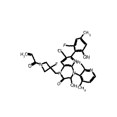 C=CC(=O)N1CC(F)(CN2C(=O)C(O)N(c3c(C)ccnc3C(C)C)c3nc(-c4c(O)cc(C)cc4F)c(Cl)cc32)C1